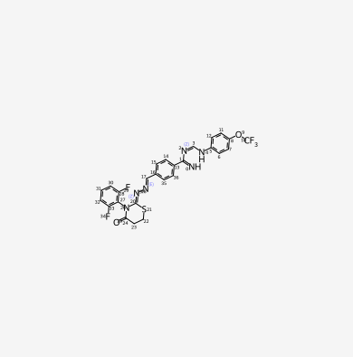 N=C(/N=C\Nc1ccc(OC(F)(F)F)cc1)c1ccc(/C=N/N=C2\SCCC(=O)N2c2c(F)cccc2F)cc1